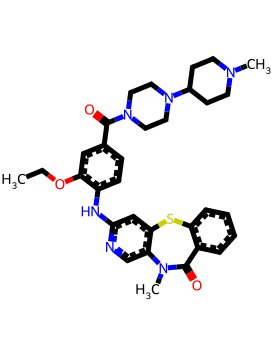 CCOc1cc(C(=O)N2CCN(C3CCN(C)CC3)CC2)ccc1Nc1cc2c(cn1)N(C)C(=O)c1ccccc1S2